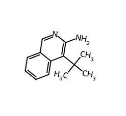 CC(C)(C)c1c(N)ncc2ccccc12